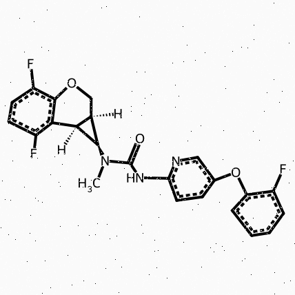 CN(C(=O)Nc1ccc(Oc2ccccc2F)cn1)[C@@H]1[C@@H]2COc3c(F)ccc(F)c3[C@@H]21